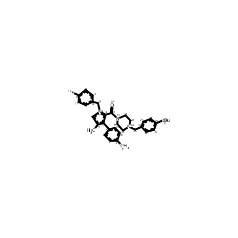 Cc1ccc(-c2c(C)cn(Cc3ccc(F)cc3)c2C(=O)N2CCN(Cc3ccc(C(C)(C)C)cc3)CC2)cc1